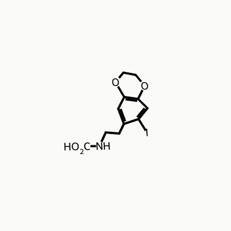 O=C(O)NCCc1cc2c(cc1I)OCCO2